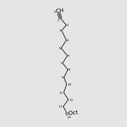 C#CCCCCCCCCCCCCCCCCCCCC